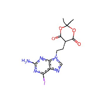 CC1(C)OC(=O)C(CCn2cnc3c(I)nc(N)nc32)C(=O)O1